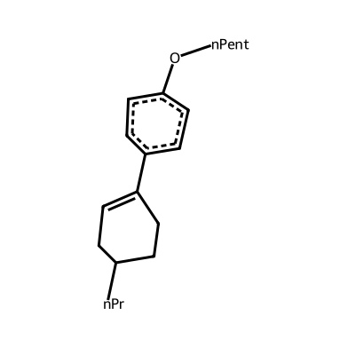 CCCCCOc1ccc(C2=CCC(CCC)CC2)cc1